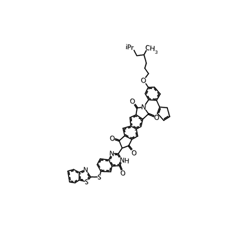 CC(C)CC(C)CCCOc1ccc(C2=CC=CC2)c(N2C(=O)c3cc4cc5c(cc4cc3C2=O)C(=O)C(c2nc3ccc(Sc4nc6ccccc6s4)cc3c(=O)[nH]2)C5=O)c1